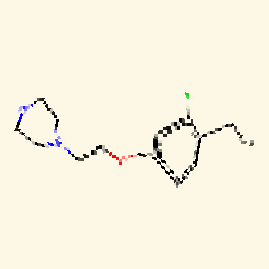 CC(C)(C)Cc1ccc(OCCN2CCNCC2)cc1Cl